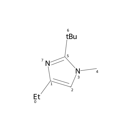 CCc1cn(C)c(C(C)(C)C)n1